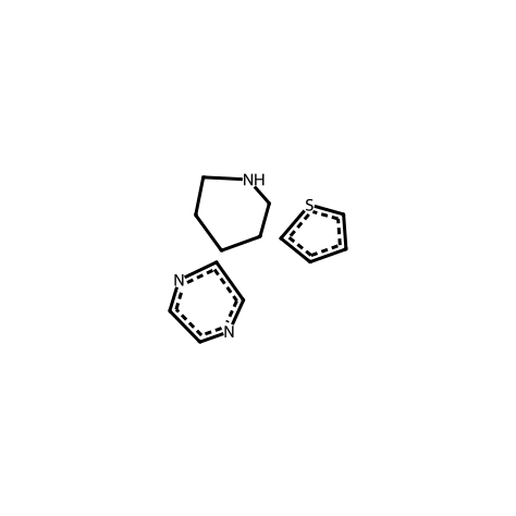 C1CCNCC1.c1ccsc1.c1cnccn1